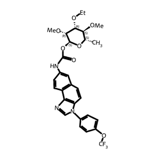 CCO[C@@H]1[C@@H](OC)[C@H](C)O[C@@H](OC(=O)Nc2ccc3c(ccc4c3ncn4-c3ccc(OC(F)(F)F)cc3)c2)[C@@H]1OC